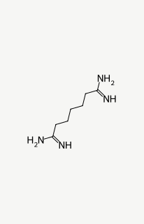 N=C(N)CCCCCC(=N)N